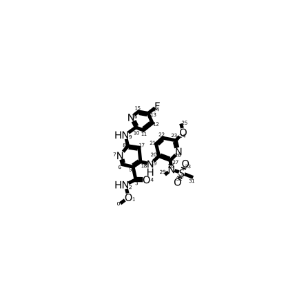 CONC(=O)c1cnc(Nc2ccc(F)cn2)cc1Nc1ccc(OC)nc1N(C)S(C)(=O)=O